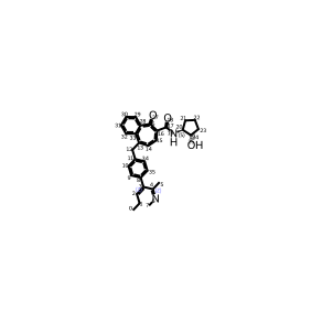 CC/C=C(\C(C)=N/C)c1ccc(Cc2ccc(C(=O)N[C@H]3CCC[C@@H]3O)c(=O)c3ccccc23)cc1